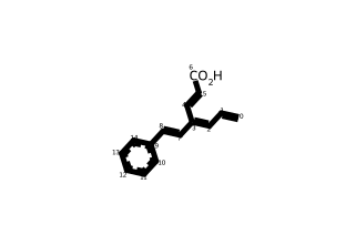 C=CC=C(C=CC(=O)O)C=Cc1ccccc1